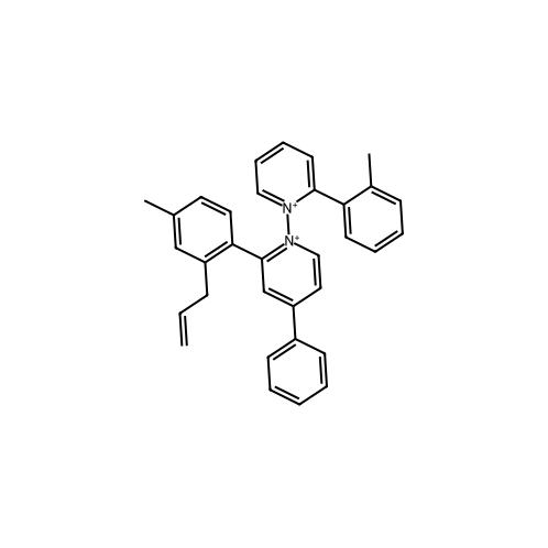 C=CCc1cc(C)ccc1-c1cc(-c2ccccc2)cc[n+]1-[n+]1ccccc1-c1ccccc1C